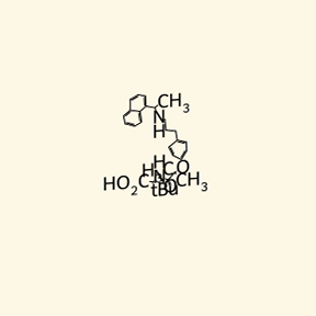 CC(NCCCc1ccc(OC(C)(C)C(=O)NC(C(=O)O)C(C)(C)C)cc1)c1cccc2ccccc12